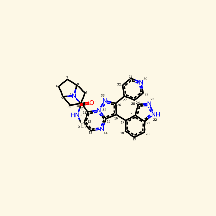 CCNC(=O)N1C2CCC1CC(c1ccnc3c(-c4cccc5[nH]ncc45)c(-c4ccncc4)nn13)C2